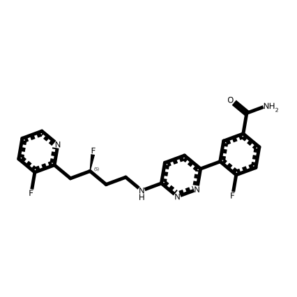 NC(=O)c1ccc(F)c(-c2ccc(NCC[C@H](F)Cc3ncccc3F)nn2)c1